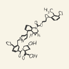 Cc1c(Cl)cccc1OCCOC(=O)N1C[C@@H]2C[C@@H]2c2c(-c3cnn(Cc4cc(C(=O)N5C[C@@H](O)CC5C(=O)O)ccc4Cl)c3)cccc21